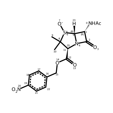 CC(=O)N[C@@H]1C(=O)N2[C@@H]1[S+]([O-])C(C)(C)[C@@H]2C(=O)OCc1ccc([N+](=O)[O-])cc1